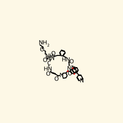 NCCOCCNC(=O)[C@@H]1CCNC(=O)/C=C/C(=O)N2CCC[C@](Cc3ccccc3)(C2)C(=O)N[C@@H](Cc2ccc(-c3ccncc3)cc2)C(=O)NCc2ccccc2CC(=O)N1